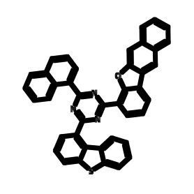 c1ccc2cc3c(cc2c1)oc1c(-c2nc(-c4cccc5ccccc45)nc(-c4cccc5sc6ccccc6c45)n2)cccc13